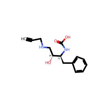 C#CCNC[C@@H](O)[C@H](Cc1ccccc1)NC(=O)O